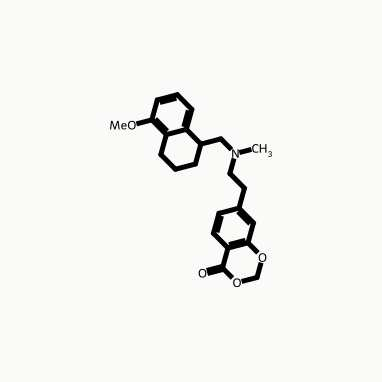 COc1cccc2c1CCCC2CN(C)CCc1ccc2c(c1)OCOC2=O